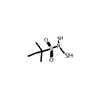 CC(C)(C)S(=O)(=O)N(S)S